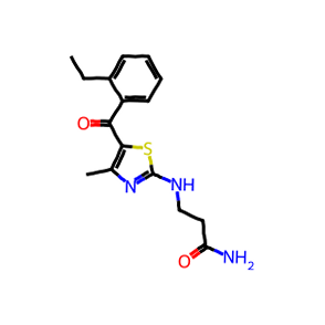 CCc1ccccc1C(=O)c1sc(NCCC(N)=O)nc1C